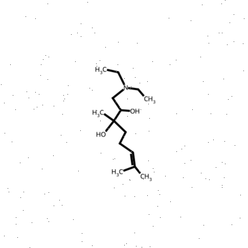 CCN(CC)CC(O)C(C)(O)CCC=C(C)C